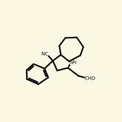 CCC[C@@H](CC=O)CC(C#N)(c1ccccc1)C1CCCCCC1